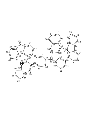 c1ccc2c(-n3c4ccccc4c4ccccc43)c3c4ccccc4n(-c4ccc(-c5nc6ccccc6nc5-c5cccc6sc7ccccc7c56)cc4)c3cc2c1